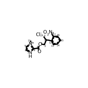 CC(COC(=O)c1[nH]cc[n+]1C)c1ccccc1[N+](=O)[O-].[Cl-]